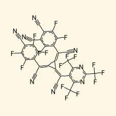 N#CC(=C1C(=C(\C#N)c2c(C(F)(F)F)nc(C(F)(F)F)nc2C(F)(F)F)/C1=C(\C#N)c1c(F)c(F)c(C#N)c(C#N)c1F)c1c(F)c(F)c(C#N)c(F)c1F